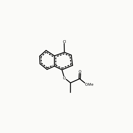 COC(=O)C(C)Oc1ccc(Cl)c2ccccc12